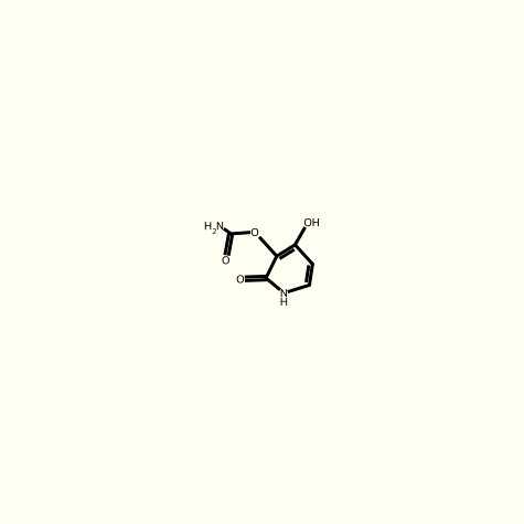 NC(=O)Oc1c(O)cc[nH]c1=O